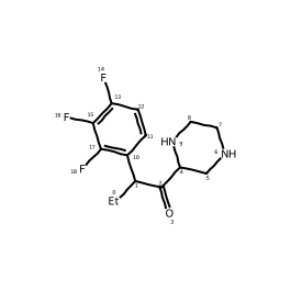 CCC(C(=O)C1CNCCN1)c1ccc(F)c(F)c1F